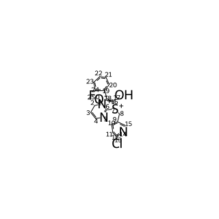 [O-][N+]12CC=CN=C1[S+](Cc1ccc(Cl)nc1)C(O)=C2c1ccccc1F